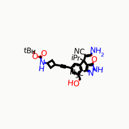 Cc1n[nH]c2c1[C@@](c1cc(C#CC3CC(NC(=O)OC(C)(C)C)C3)cc(CO)c1)(C(C)C)C(C#N)=C(N)O2